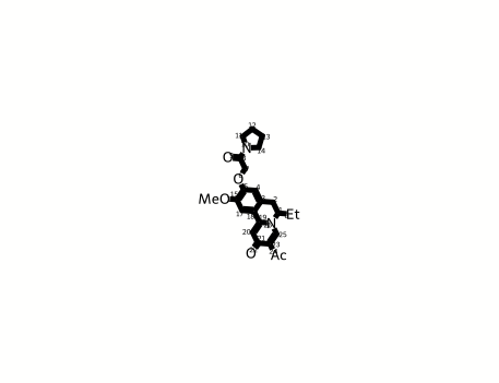 CCC1Cc2cc(OCC(=O)N3CCCC3)c(OC)cc2-c2cc(=O)c(C(C)=O)cn21